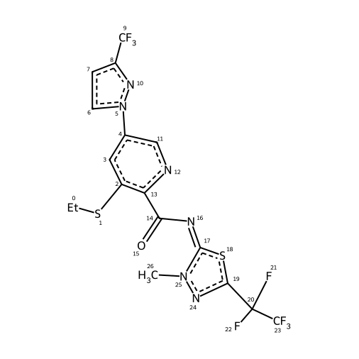 CCSc1cc(-n2ccc(C(F)(F)F)n2)cnc1C(=O)N=c1sc(C(F)(F)C(F)(F)F)nn1C